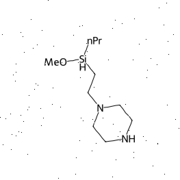 CCC[SiH](CCN1CCNCC1)OC